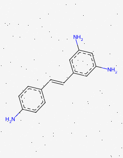 Nc1ccc(/C=C/c2cc(N)cc(N)c2)cc1